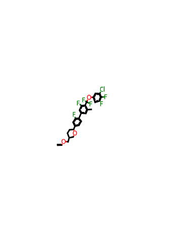 C=COCC1CCC(c2ccc(-c3cc(C)c(C(F)(F)Oc4cc(F)c(F)c(Cl)c4)c(F)c3)c(F)c2)OC1